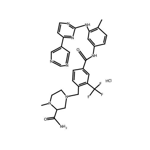 Cc1ccc(NC(=O)c2ccc(CN3CCN(C)C(C(N)=O)C3)c(C(F)(F)F)c2)cc1Nc1nccc(-c2cncnc2)n1.Cl